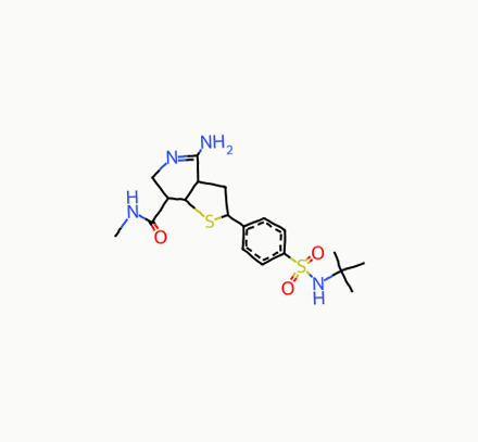 CNC(=O)C1CN=C(N)C2CC(c3ccc(S(=O)(=O)NC(C)(C)C)cc3)SC12